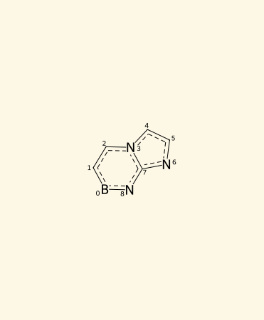 b1ccn2ccnc2n1